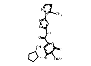 COc1c(N[C@@H]2CCC[C@@H]2C#N)cc(C(=O)Nc2nnc(-n3nccc3C)s2)oc1=O